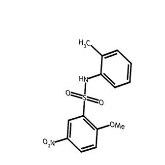 COc1ccc([N+](=O)[O-])cc1S(=O)(=O)Nc1ccccc1C